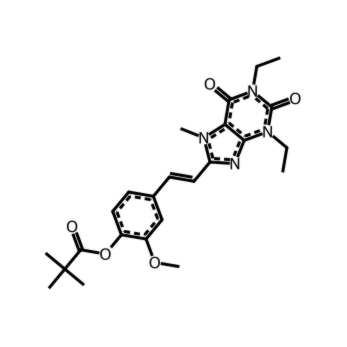 CCn1c(=O)c2c(nc(/C=C/c3ccc(OC(=O)C(C)(C)C)c(OC)c3)n2C)n(CC)c1=O